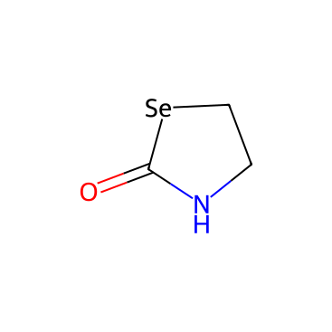 O=C1NCC[Se]1